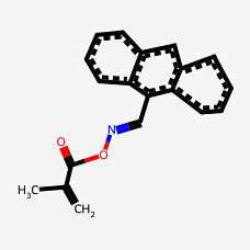 C=C(C)C(=O)ON=Cc1c2ccccc2cc2ccccc12